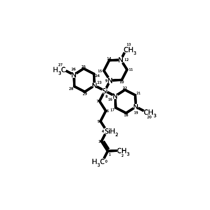 CC(C)=C[SiH2]CCC[Si](N1CCN(C)CC1)(N1CCN(C)CC1)N1CCN(C)CC1